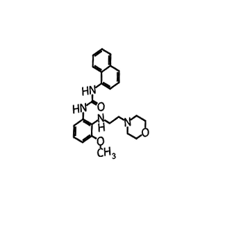 COc1cccc(NC(=O)Nc2cccc3ccccc23)c1NCCN1CCOCC1